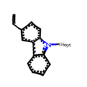 C=Cc1ccc2c(c1)c1ccccc1n2CCCCCCC